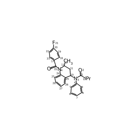 CC(C)C(=O)N(c1ccccc1)C1CC(C)N(C(=O)c2ccc(F)cc2)c2ccccc21